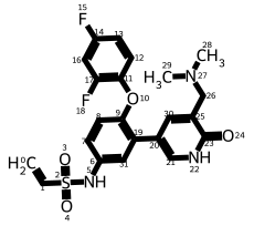 C=CS(=O)(=O)Nc1ccc(Oc2ccc(F)cc2F)c(-c2c[nH]c(=O)c(CN(C)C)c2)c1